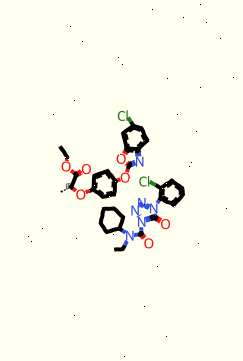 CCN(C(=O)n1nnn(-c2ccccc2Cl)c1=O)C1CCCCC1.CCOC(=O)[C@@H](C)Oc1ccc(Oc2nc3ccc(Cl)cc3o2)cc1